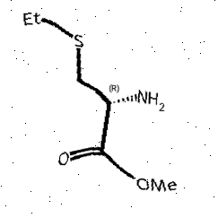 CCSC[C@H](N)C(=O)OC